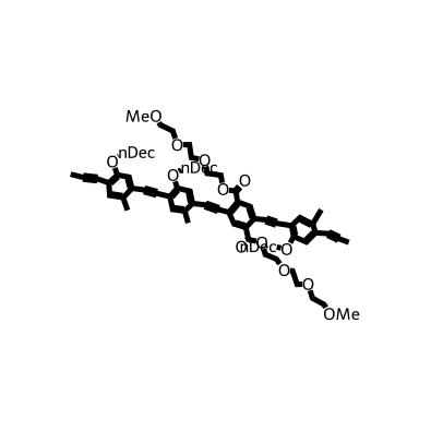 CC#Cc1cc(OCCCCCCCCCC)c(C#Cc2cc(C(=O)OCCOCCOCCOC)c(C#Cc3cc(OCCCCCCCCCC)c(C#Cc4cc(OCCCCCCCCCC)c(C#CC)cc4C)cc3C)cc2C(=O)OCCOCCOCCOC)cc1C